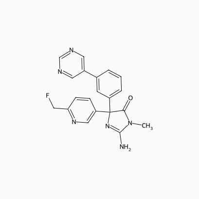 CN1C(=O)C(c2ccc(CF)nc2)(c2cccc(-c3cncnc3)c2)N=C1N